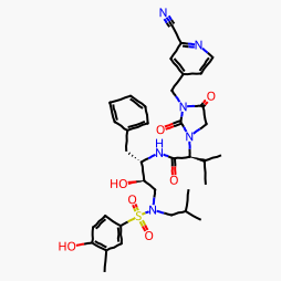 Cc1cc(S(=O)(=O)N(CC(C)C)C[C@@H](O)[C@H](Cc2ccccc2)NC(=O)[C@H](C(C)C)N2CC(=O)N(Cc3ccnc(C#N)c3)C2=O)ccc1O